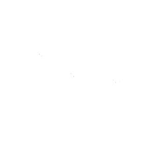 Cc1ccncc1-c1csc(-c2ccc(=O)[nH]c2)n1